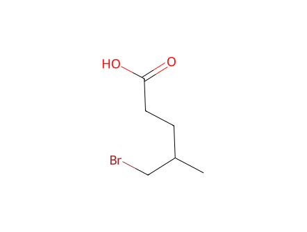 CC(CBr)CCC(=O)O